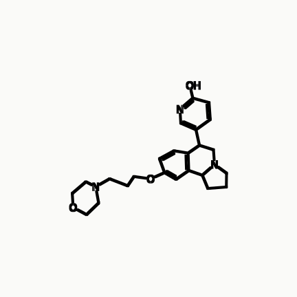 Oc1ccc(C2CN3CCCC3c3cc(OCCCN4CCOCC4)ccc32)cn1